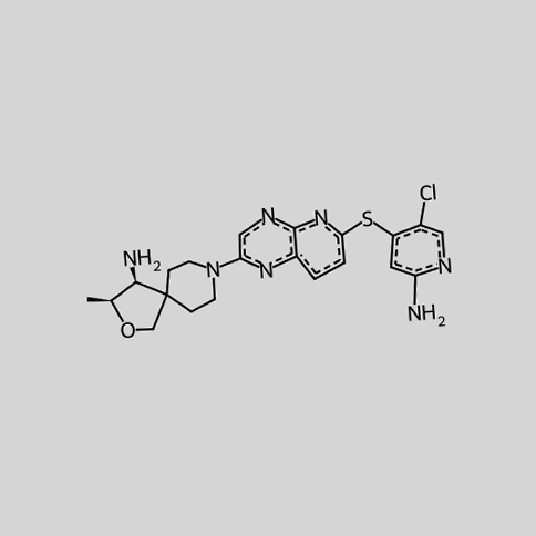 C[C@@H]1OCC2(CCN(c3cnc4nc(Sc5cc(N)ncc5Cl)ccc4n3)CC2)[C@@H]1N